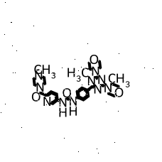 CC1COCCN1c1nc(-c2ccc(NC(=O)Nc3ccc(C(=O)N4CCN(C)CC4)nc3)cc2)nc(N2CCOCC2C)n1